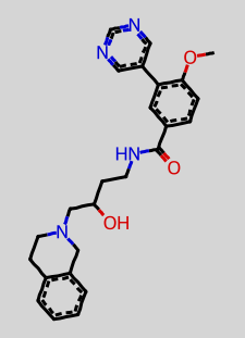 COc1ccc(C(=O)NCCC(O)CN2CCc3ccccc3C2)cc1-c1cncnc1